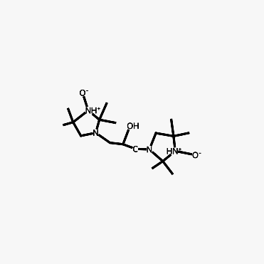 CC1(C)CN(CC(O)CN2CC(C)(C)[NH+]([O-])C2(C)C)C(C)(C)[NH+]1[O-]